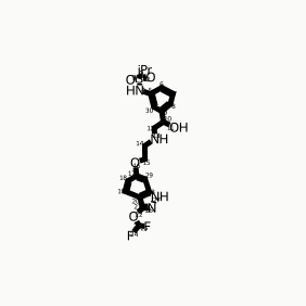 CC(C)S(=O)(=O)Nc1cccc(C(O)CNCCOc2ccc3c(OC(F)F)n[nH]c3c2)c1